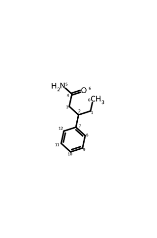 CC[C](CC(N)=O)c1ccccc1